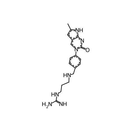 Cc1cc2cn(-c3ccc(CNCCCNC(=N)N)cc3)c(=O)nc2[nH]1